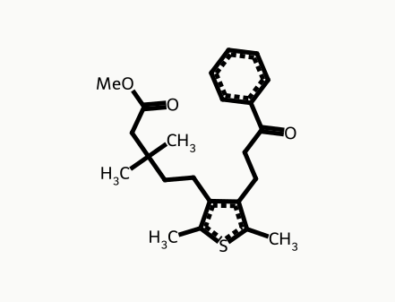 COC(=O)CC(C)(C)CCc1c(C)sc(C)c1CCC(=O)c1ccccc1